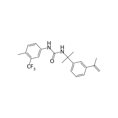 C=C(C)c1cccc(C(C)(C)NC(=O)Nc2ccc(C)c(C(F)(F)F)c2)c1